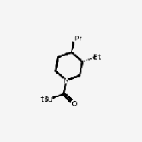 CC[C@@H]1CN(C(=O)C(C)(C)C)CC[C@H]1C(C)C